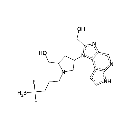 BC(F)(F)CCCN1CC(n2c(CO)nc3cnc4[nH]ccc4c32)CC1CO